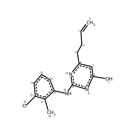 C=CCCc1cc(O)nc(Nc2cccc(Cl)c2C)n1